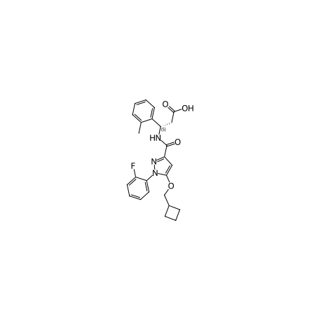 Cc1ccccc1[C@H](CC(=O)O)NC(=O)c1cc(OCC2CCC2)n(-c2ccccc2F)n1